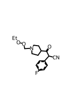 CCOOCN1CCC(C(=O)C(C#N)c2ccc(F)cc2)CC1